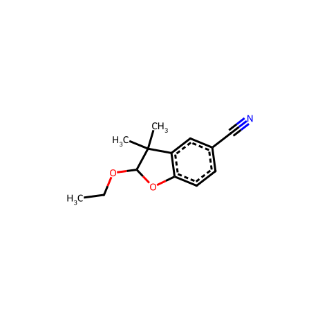 CCOC1Oc2ccc(C#N)cc2C1(C)C